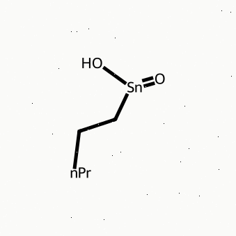 CCCC[CH2][Sn](=[O])[OH]